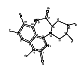 Cc1cc2c3c(nc(=O)n2C)N2CC(C)N(C)CC2C(=O)Nc3c1F